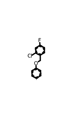 Fc1ccc(COc2cc[c]cc2)c(Cl)c1